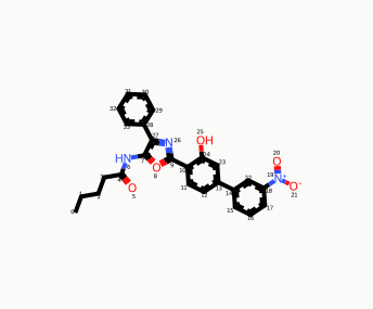 CCCCC(=O)Nc1oc(-c2ccc(-c3cccc([N+](=O)[O-])c3)cc2O)nc1-c1ccccc1